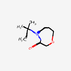 CC(C)(C)N1CCOCC1=O